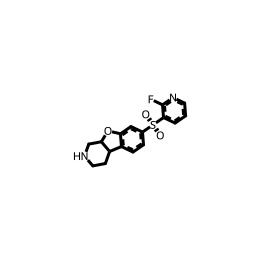 O=S(=O)(c1ccc2c(c1)OC1CNCCC21)c1cccnc1F